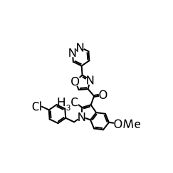 COc1ccc2c(c1)c(C(=O)c1coc(-c3ccnnc3)n1)c(C)n2Cc1ccc(Cl)cc1